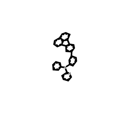 c1ccc(N(c2cccc(-c3ccc4c(c3)-c3cccc5cccc-4c35)c2)c2ccccn2)cc1